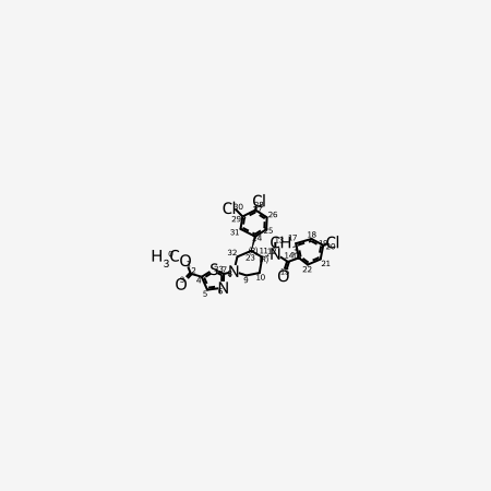 COC(=O)c1cnc(N2CC[C@@H](N(C)C(=O)c3ccc(Cl)cc3)[C@H](c3ccc(Cl)c(Cl)c3)C2)s1